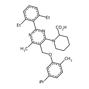 CCc1cccc(CC)c1-c1nc(C)c(COc2cc(C(C)C)ccc2C)c(N2CCCCC2C(=O)O)n1